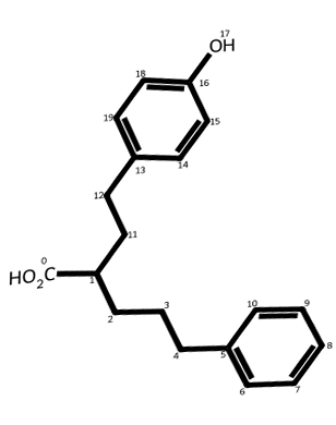 O=C(O)C(CCCc1ccccc1)CCc1ccc(O)cc1